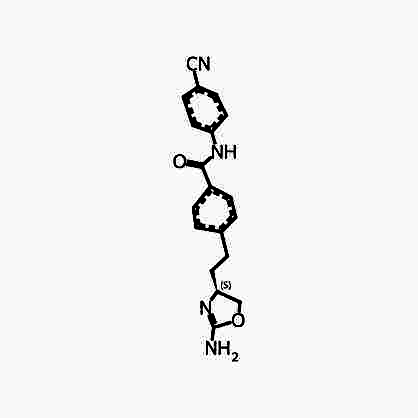 N#Cc1ccc(NC(=O)c2ccc(CC[C@H]3COC(N)=N3)cc2)cc1